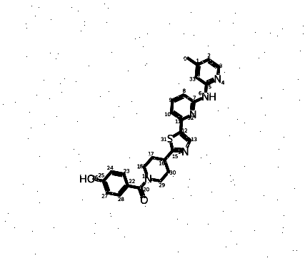 Cc1ccnc(Nc2cccc(-c3cnc(C4CCN(C(=O)c5ccc(O)cc5)CC4)s3)n2)c1